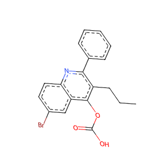 CCCc1c(-c2ccccc2)nc2ccc(Br)cc2c1OC(=O)O